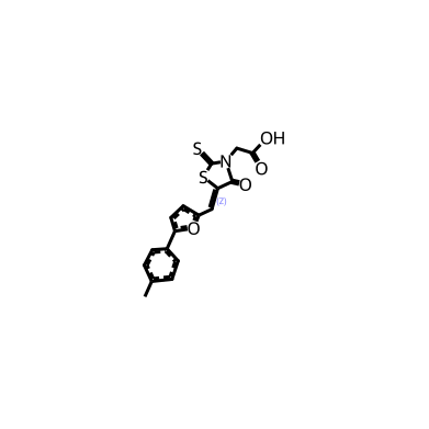 Cc1ccc(-c2ccc(/C=C3\SC(=S)N(CC(=O)O)C3=O)o2)cc1